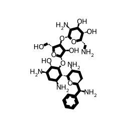 NC[C@@H]1O[C@H](O[C@H]2[C@@H](O)[C@H](O[C@@H]3[C@@H](O)[C@H](N)C[C@H](N)[C@H]3C3O[C@H]([C@@H](N)c4ccccc4)CC[C@H]3N)O[C@@H]2CO)[C@H](N)[C@@H](O)[C@@H]1O